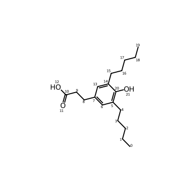 CCCCCc1cc(CCC(=O)O)cc(CCCCC)c1O